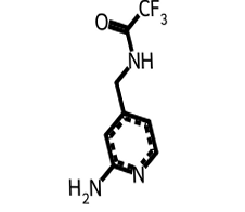 Nc1cc(CNC(=O)C(F)(F)F)ccn1